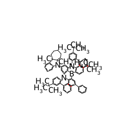 CC(C)(C)c1ccc(N2c3ccc(-c4ccccc4)cc3B3c4ccc(C(C)(C)C)cc4N(c4ccc(C(C)(C)C)cc4-c4ccccc4)c4cc(N5c6ccccc6C6(C)CCCCCC56C)cc2c43)c(-c2ccccc2)c1